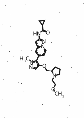 COCCN1CCC[C@@H]1COc1cnn(C)c1-c1ccn2nc(NC(=O)C3CC3)cc2c1